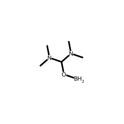 BOC(N(C)C)N(C)C